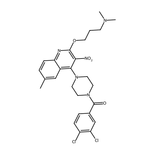 Cc1ccc2nc(OCCCN(C)C)c([N+](=O)[O-])c(N3CCN(C(=O)c4ccc(Cl)c(Cl)c4)CC3)c2c1